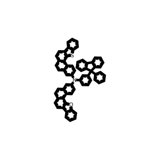 c1ccc(C2(c3cccc(N(c4ccc5c(ccc6ccc7c8ccccc8oc7c65)c4)c4ccc5c(ccc6ccc7c8ccccc8sc7c65)c4)c3)c3ccccc3-c3ccccc32)cc1